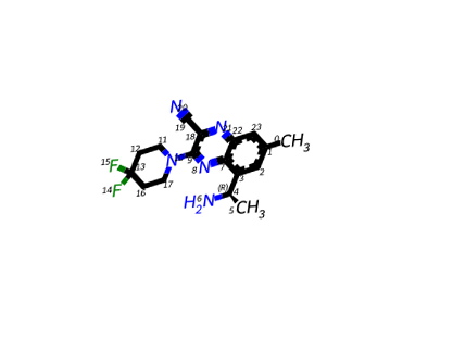 Cc1cc([C@@H](C)N)c2nc(N3CCC(F)(F)CC3)c(C#N)nc2c1